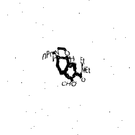 CCCN1CCO[C@@H]2c3cc(C(=O)N(CC)CC)c(C=O)cc3CC[C@H]21